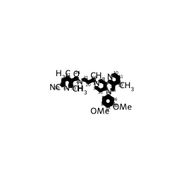 COc1ccc(N(Cc2cnccc2C)C2CCN([C@H](C)CCNC(=O)c3c(C)cc(C#N)nc3C)CC2)cc1OC